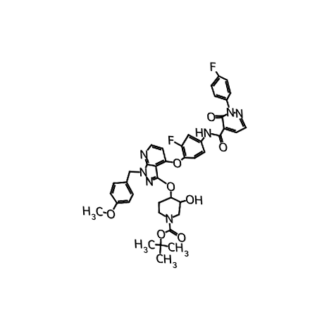 COc1ccc(Cn2nc(OC3CCN(C(=O)OC(C)(C)C)CC3O)c3c(Oc4ccc(NC(=O)c5ccnn(-c6ccc(F)cc6)c5=O)cc4F)ccnc32)cc1